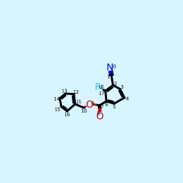 N#Cc1cccc(C(=O)OCc2ccccc2)c1F